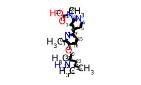 Cc1nc(-c2ccnc(N(C)C(=O)O)c2)ccc1OC[C@@](C)(N)CC(C)C